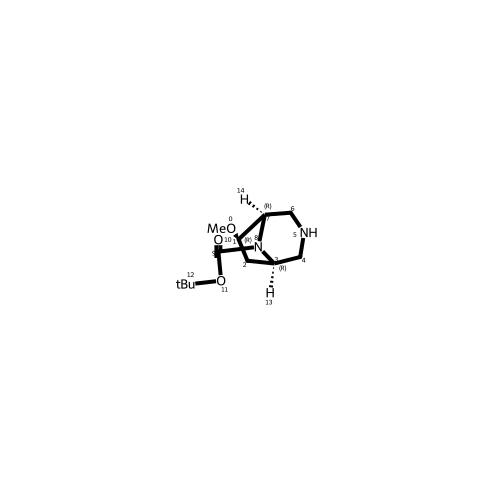 CO[C@@H]1C[C@@H]2CNC[C@H]1N2C(=O)OC(C)(C)C